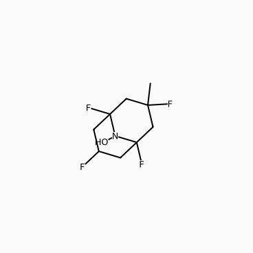 CC1(F)CC2(F)CC(F)CC(F)(C1)N2O